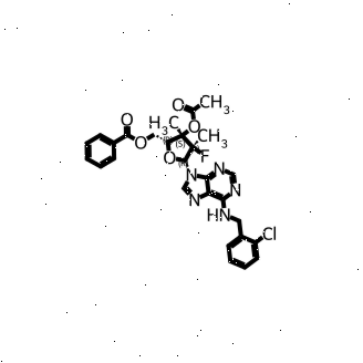 CC(=O)O[C@@]1(C)[C@@H](COC(=O)c2ccccc2)O[C@@H](n2cnc3c(NCc4ccccc4Cl)ncnc32)[C@]1(C)F